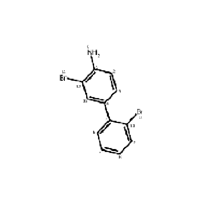 Nc1ccc(-c2ccccc2Br)cc1Br